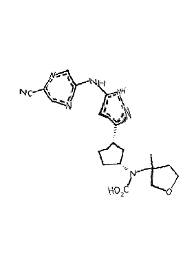 CC1(N(C(=O)O)[C@@H]2CC[C@H](c3cc(Nc4cnc(C#N)cn4)[nH]n3)C2)CCOC1